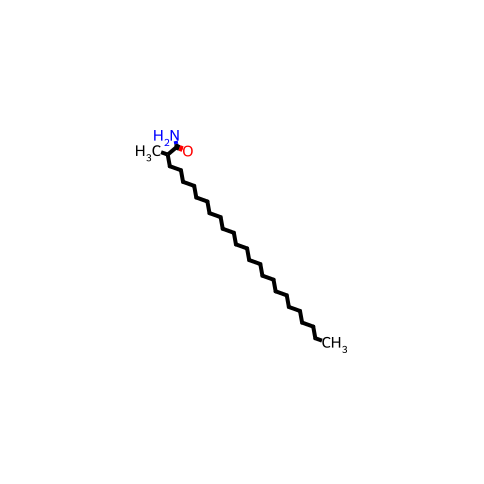 CCCCCCCCCCCCCCCCCCCCCCCCC(C)C(N)=O